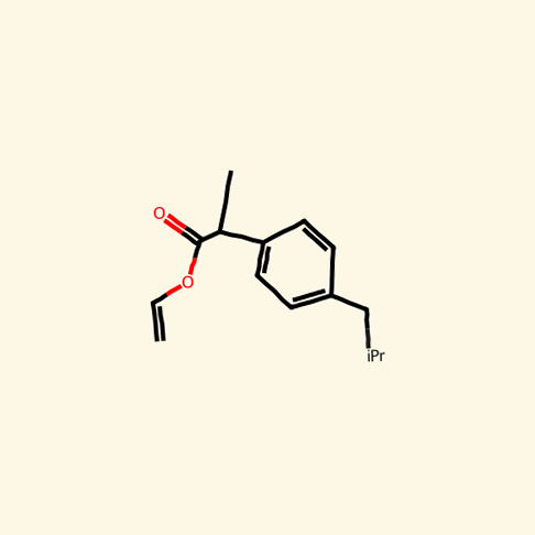 C=COC(=O)C(C)c1ccc(CC(C)C)cc1